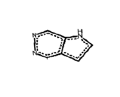 [c]1nncc2[nH]ccc12